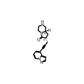 O=C1[C@@H](CC#Cc2cccn3nccc23)C[C@H]2CNCCN12